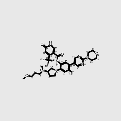 COCCCN(C)C1CCN(c2cc(F)c(-c3cnc(N4CCOCC4)nc3)cc2NC(=O)c2c[nH]c(=O)cc2C(F)(F)F)C1